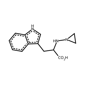 O=C(O)C(Cc1c[nH]c2ccccc12)NN1CC1